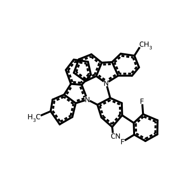 Cc1ccc2c(c1)c1ccccc1n2-c1cc(C#N)c(-c2c(F)cccc2F)cc1-n1c2ccccc2c2cc(C)ccc21